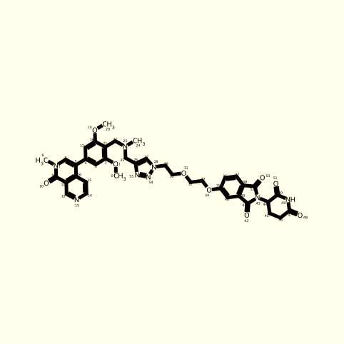 COc1cc(-c2cn(C)c(=O)c3cnccc23)cc(OC)c1CN(C)Cc1cn(CCOCCOc2ccc3c(c2)C(=O)N(C2CCC(=O)NC2=O)C3=O)nn1